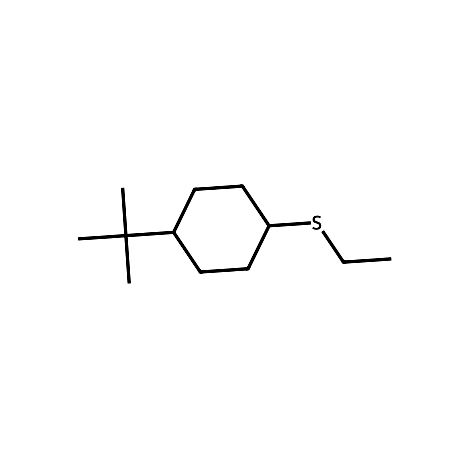 CCSC1CCC(C(C)(C)C)CC1